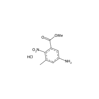 COC(=O)c1cc(N)cc(C)c1[N+](=O)[O-].Cl